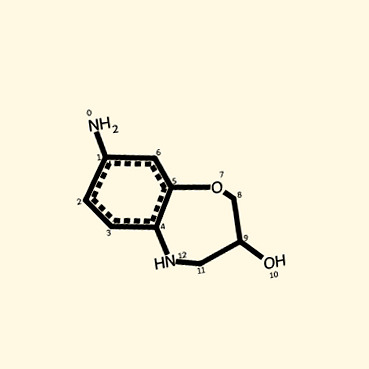 Nc1ccc2c(c1)OCC(O)CN2